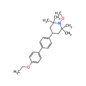 CCOc1ccc(-c2ccc(C3CC(C)(C)N(OC)C(C)(C)C3)cc2)cc1